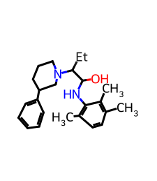 CCC(C(O)Nc1c(C)ccc(C)c1C)N1CCCC(c2ccccc2)C1